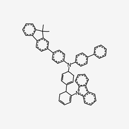 CC1(C)c2ccccc2-c2ccc(-c3ccc(N(c4ccc(-c5ccccc5)cc4)C4C=CC(C5CC=CC=C5n5c6ccccc6c6ccccc65)=CC4)cc3)cc21